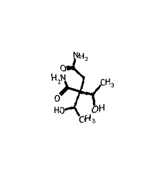 CC(O)C(CC(N)=O)(C(N)=O)C(C)O